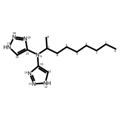 CCCCCCCC(C)N(c1c[nH]nn1)c1c[nH]nn1